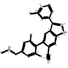 CNCc1cc(C)c(-c2cc3c(-c4ccnc(C)c4)n[nH]c3cc2C#N)c(F)c1